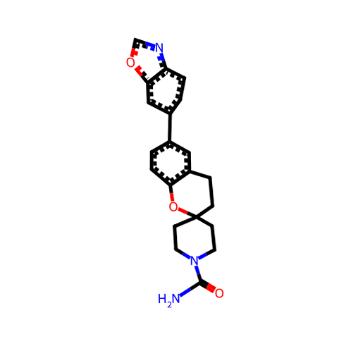 NC(=O)N1CCC2(CCc3cc(-c4ccc5ncoc5c4)ccc3O2)CC1